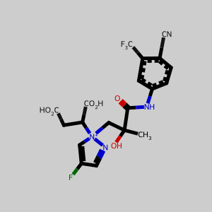 CC(O)(C[N+]1(C(CC(=O)O)C(=O)O)C=C(F)C=N1)C(=O)Nc1ccc(C#N)c(C(F)(F)F)c1